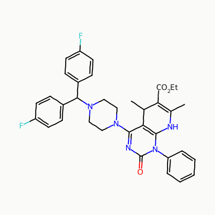 CCOC(=O)C1=C(C)Nc2c(c(N3CCN(C(c4ccc(F)cc4)c4ccc(F)cc4)CC3)nc(=O)n2-c2ccccc2)C1C